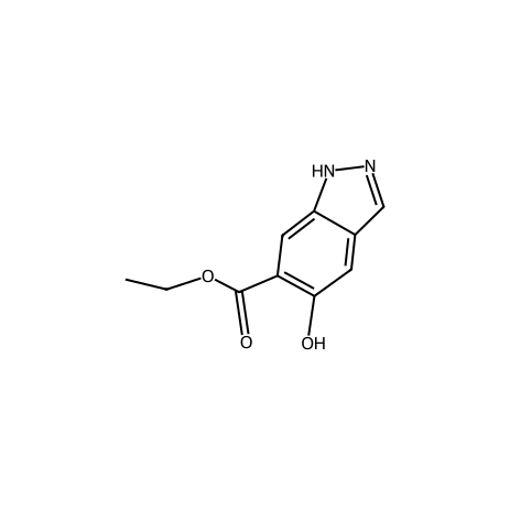 CCOC(=O)c1cc2[nH]ncc2cc1O